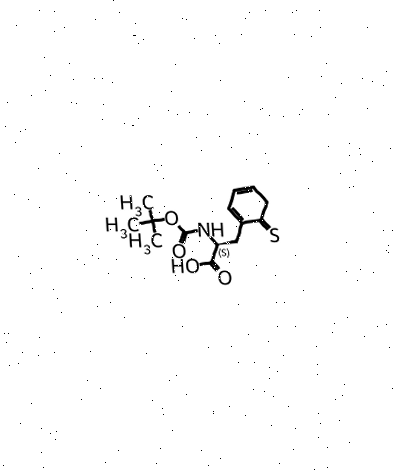 CC(C)(C)OC(=O)N[C@@H](CC1=CC=CCC1=S)C(=O)O